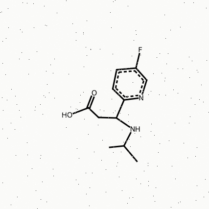 CC(C)NC(CC(=O)O)c1ccc(F)cn1